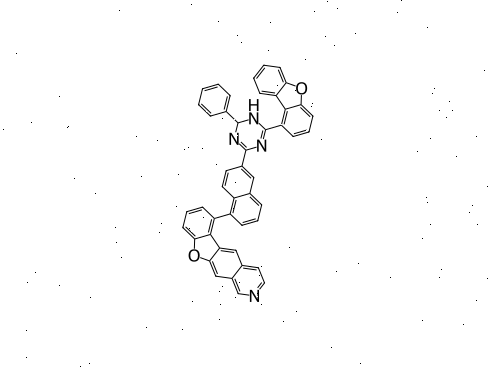 c1ccc(C2N=C(c3ccc4c(-c5cccc6oc7cc8cnccc8cc7c56)cccc4c3)N=C(c3cccc4oc5ccccc5c34)N2)cc1